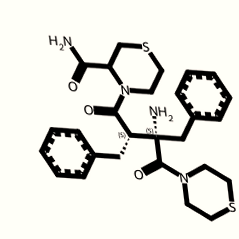 NC(=O)C1CSCCN1C(=O)[C@@H](Cc1ccccc1)[C@@](N)(Cc1ccccc1)C(=O)N1CCSCC1